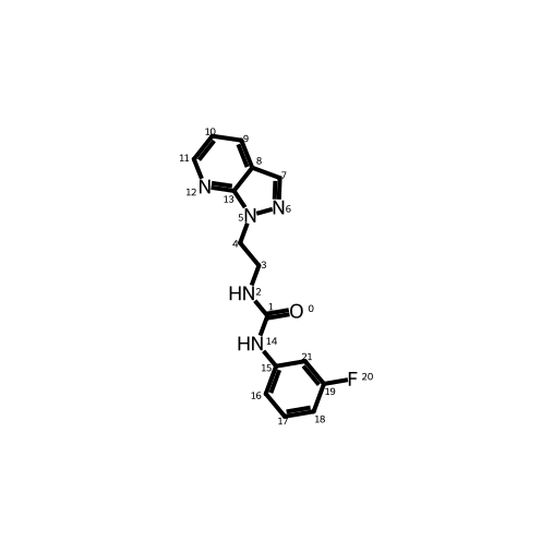 O=C(NCCn1ncc2cccnc21)Nc1cccc(F)c1